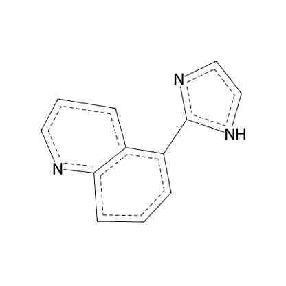 c1cc(-c2ncc[nH]2)c2cccnc2c1